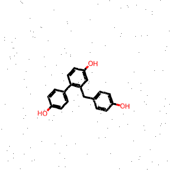 Oc1ccc(Cc2cc(O)ccc2-c2ccc(O)cc2)cc1